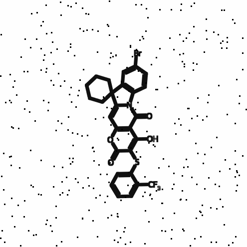 O=c1oc2cc3n(c(=O)c2c(O)c1Sc1ccccc1C(F)(F)F)-c1ccc(Br)cc1C31CCCCC1